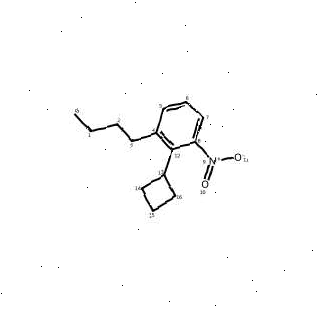 CCCCc1cccc([N+](=O)[O-])c1C1CCC1